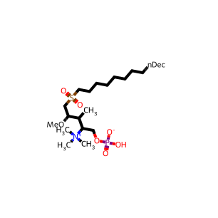 CCCCCCCCCCCCCCCCCCS(=O)(=O)CC(OC)C(C)C(COP(=O)([O-])O)[N+](C)(C)C